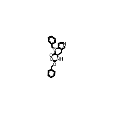 O=C(NC1Cc2cnccc2N(Cc2ccccc2)C1=O)OCc1ccccc1